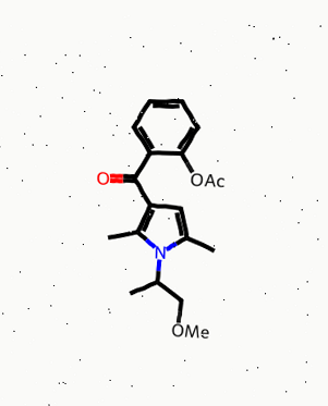 COCC(C)n1c(C)cc(C(=O)c2ccccc2OC(C)=O)c1C